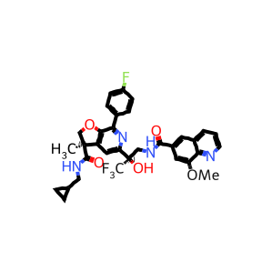 COc1cc(C(=O)NC[C@](O)(c2cc3c(c(-c4ccc(F)cc4)n2)OC[C@]3(C)C(=O)NCC2CC2)C(F)(F)F)cc2cccnc12